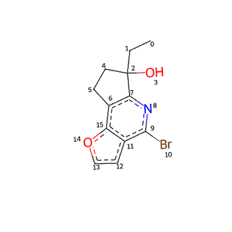 CCC1(O)CCc2c1nc(Br)c1ccoc21